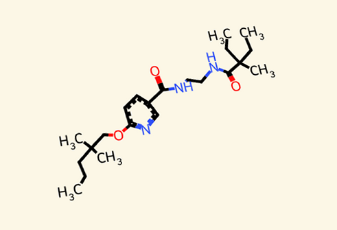 CCCC(C)(C)COc1ccc(C(=O)NCCNC(=O)C(C)(CC)CC)cn1